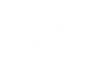 Cc1nc(C2CCCN(C)C2)no1